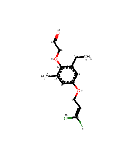 CCc1cc(OCC=C(Cl)Cl)cc(C)c1OCC=O